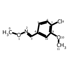 CON=Cc1ccc(Cl)c(OC)c1